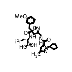 COc1cccc(CC2(C(=O)N[C@@H](CC(C)C)B(O)O)CC(CNC(=O)c3cc(C)nn3C3CCCC3)=NO2)c1